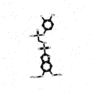 CCCCCOc1cc2cc(S(=O)(=O)NCP(=O)(O)Oc3ccc(C#N)c(F)c3)sc2cc1OCCCC